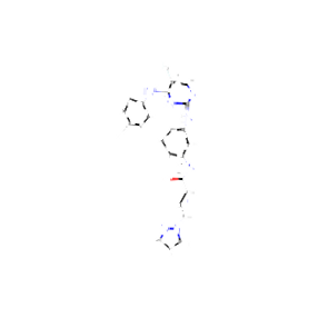 Cc1ccc(Nc2nc(Nc3cccc(NC(=O)/C=C/Cn4cccn4)c3)ncc2F)cc1